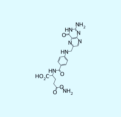 NOC(=O)CCC(NC(=O)c1ccc(NCc2cnc3nc(N)[nH]c(=O)c3n2)cc1)C(=O)O